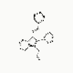 C=CCn1c(-c2ccccc2)c(N=Nc2ccccc2)c2ccccc21